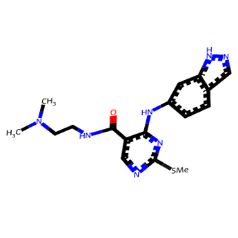 CSc1ncc(C(=O)NCCN(C)C)c(Nc2ccc3cn[nH]c3c2)n1